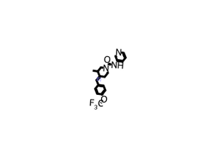 CC1CN(C(=O)Nc2cccnc2)CC/C1=C\c1ccc(OC(F)(F)F)cc1